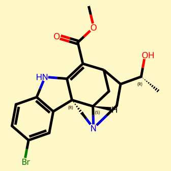 COC(=O)C1=C2Nc3ccc(Br)cc3[C@@]23CCN2CC([C@@H](C)O)C1C[C@H]23